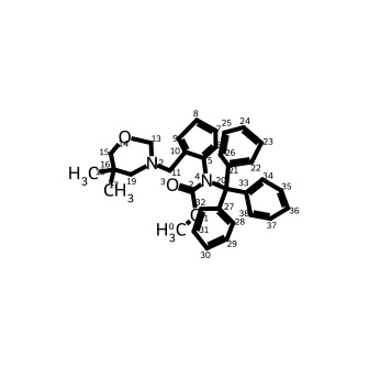 COC(=O)N(c1ccccc1CN1COCC(C)(C)C1)C(c1ccccc1)(c1ccccc1)c1ccccc1